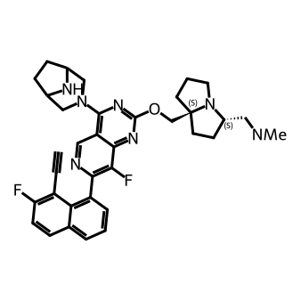 C#Cc1c(F)ccc2cccc(-c3ncc4c(N5CC6CCC(C5)N6)nc(OC[C@@]56CCCN5[C@H](CNC)CC6)nc4c3F)c12